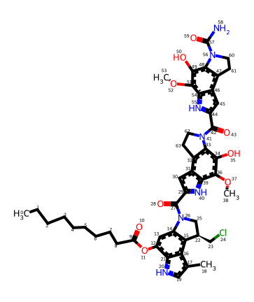 CCCCCCCCCC(=O)Oc1cc2c(c3c(C)c[nH]c13)[C@H](CCl)CN2C(=O)c1cc2c3c(c(O)c(OC)c2[nH]1)N(C(=O)c1cc2c4c(c(O)c(OC)c2[nH]1)N(C(N)=O)CC4)CC3